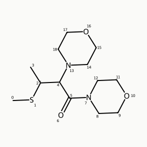 CS[C](C)C(C(=O)N1CCOCC1)N1CCOCC1